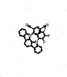 N#Cc1ccc(-n2c3ccccc3c3ccc4c5ccccc5n(-c5c(F)c(F)c(F)c(F)c5F)c4c32)c(C#N)c1